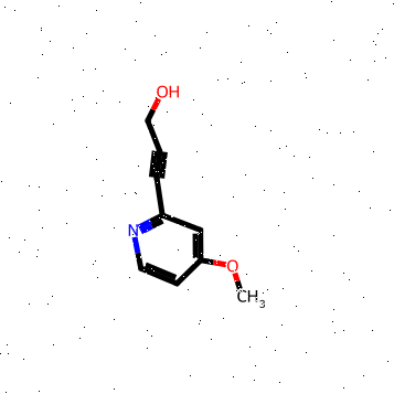 COc1ccnc(C#CCO)c1